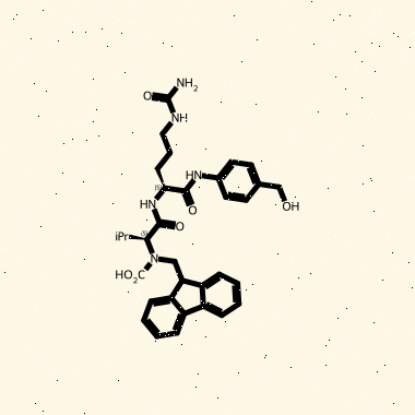 CC(C)[C@@H](C(=O)N[C@@H](CCCNC(N)=O)C(=O)Nc1ccc(CO)cc1)N(CC1c2ccccc2-c2ccccc21)C(=O)O